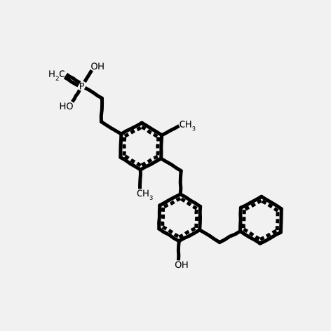 C=P(O)(O)CCc1cc(C)c(Cc2ccc(O)c(Cc3ccccc3)c2)c(C)c1